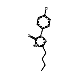 CCCCc1nn(-c2ccc(Cl)cc2)c(=O)[nH]1